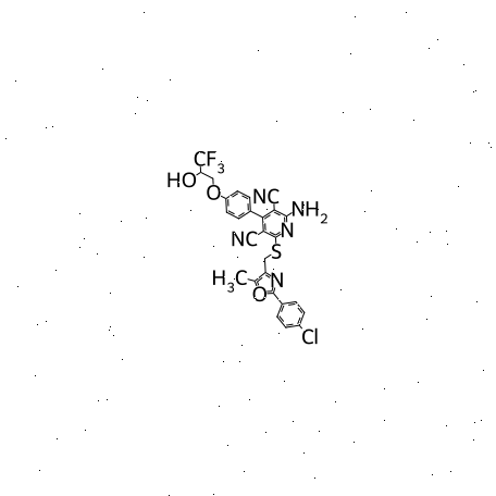 [C-]#[N+]c1c(N)nc(SCc2nc(-c3ccc(Cl)cc3)oc2C)c(C#N)c1-c1ccc(OCC(O)C(F)(F)F)cc1